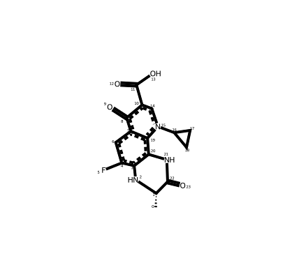 C[C@@H]1Nc2c(F)cc3c(=O)c(C(=O)O)cn(C4CC4)c3c2NC1=O